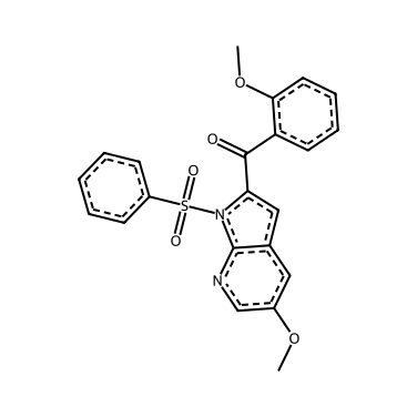 COc1cnc2c(c1)cc(C(=O)c1ccccc1OC)n2S(=O)(=O)c1ccccc1